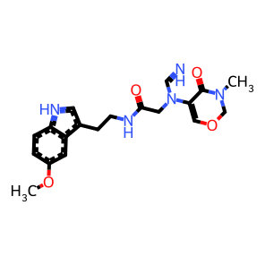 COc1ccc2[nH]cc(CCNC(=O)CN(C=N)C3=COCN(C)C3=O)c2c1